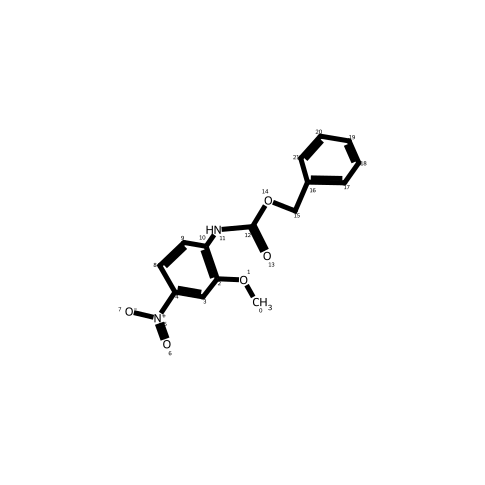 COc1cc([N+](=O)[O-])ccc1NC(=O)OCc1ccccc1